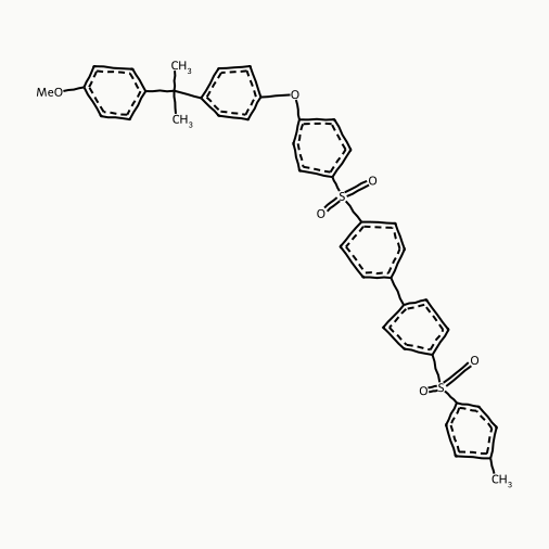 COc1ccc(C(C)(C)c2ccc(Oc3ccc(S(=O)(=O)c4ccc(-c5ccc(S(=O)(=O)c6ccc(C)cc6)cc5)cc4)cc3)cc2)cc1